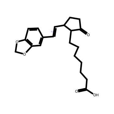 O=C(O)CCCCCCC1C(=O)CCC1/C=C/c1ccc2c(c1)OCO2